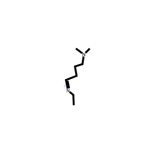 CC/N=C\CCCN(C)C